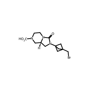 O=C(O)N1CCN2C(=O)N(C34CC(CBr)(C3)C4)C[C@@H]2C1